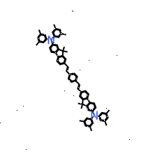 Cc1cc(C)cc(N(c2cc(C)cc(C)c2)c2ccc3c(c2)C(C)(C)c2cc(/C=C/c4ccc(/C=C/c5ccc6c(c5)C(C)(C)c5cc(N(c7cc(C)cc(C)c7)c7cc(C)cc(C)c7)ccc5-6)cc4)ccc2-3)c1